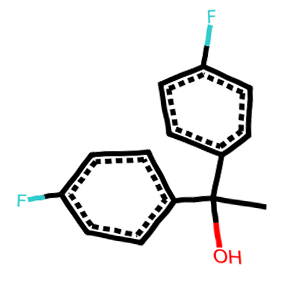 CC(O)(c1ccc(F)cc1)c1ccc(F)cc1